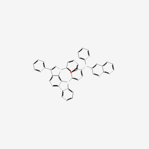 c1ccc(-c2cn(-c3ccccc3)c3c2ccc2c4ccccc4n(-c4ccc(N(c5ccccc5)c5ccc6ccccc6c5)cc4)c23)cc1